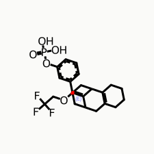 O=P(O)(O)Oc1cccc(/C(OCC(F)(F)F)=C2/C3CCCC2C2=C(CCCC2)C3)c1